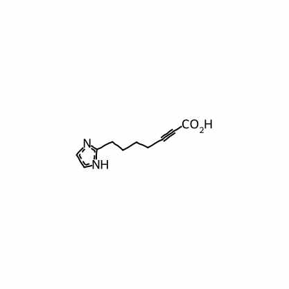 O=C(O)C#CCCCCc1ncc[nH]1